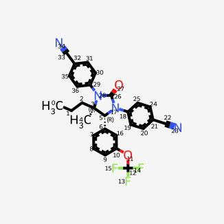 CCC[C@]1(C)[C@@H](c2cccc(OC(F)(F)F)c2)N(c2ccc(C#N)cc2)C(=O)N1c1ccc(C#N)cc1